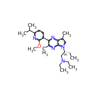 CC[C@H](CN(CC)CC)n1cc(C)c2nc(-c3ccc(C(C)C)nc3OC)c(C)nc21